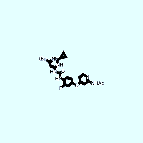 CC(=O)Nc1cc(Oc2ccc(NC(=O)N/C(=C/C(=N)C(C)(C)C)NCC3CC3)c(F)c2)ccn1